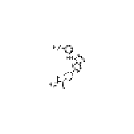 CNC(=O)C1CCN(c2ncc3ncnc(Nc4cccc(C)c4)c3n2)CC1